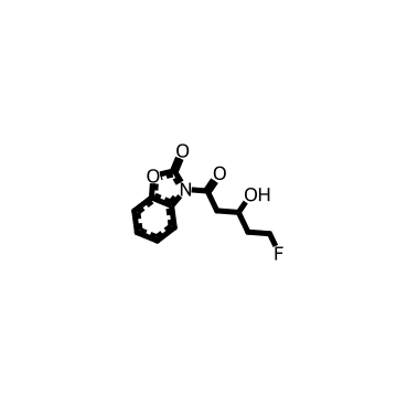 O=C(CC(O)CCF)n1c(=O)oc2ccccc21